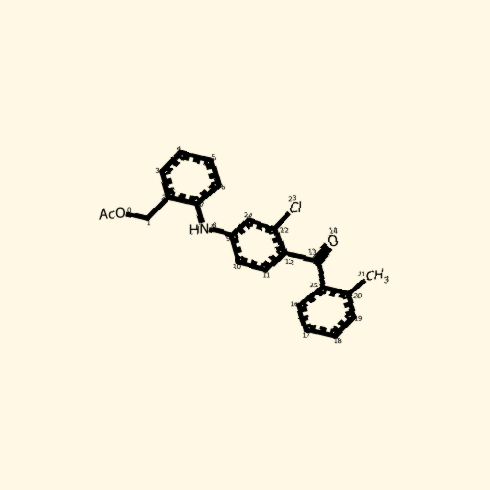 CC(=O)OCc1ccccc1Nc1ccc(C(=O)c2ccccc2C)c(Cl)c1